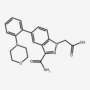 NC(=O)c1nn(CC(=O)O)c2ccc(-c3ccccc3N3CCOCC3)cc12